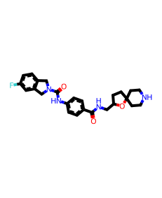 O=C(NCC1CCC2(CCNCC2)O1)c1ccc(NC(=O)N2Cc3ccc(F)cc3C2)cc1